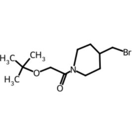 CC(C)(C)OCC(=O)N1CCC(CBr)CC1